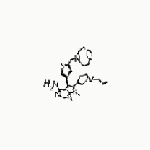 C=CCN1CCC(c2c(-c3csc(CN4CCOCC4)c3)c3c(N)ncnc3n2C)C1